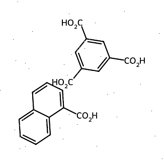 O=C(O)c1cc(C(=O)O)cc(C(=O)O)c1.O=C(O)c1cccc2ccccc12